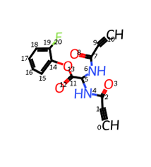 C#CC(=O)NC(NC(=O)C#C)C(=O)Oc1ccccc1F